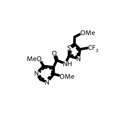 COCc1sc(NC(=O)c2c(OC)ncnc2OC)nc1C(F)(F)F